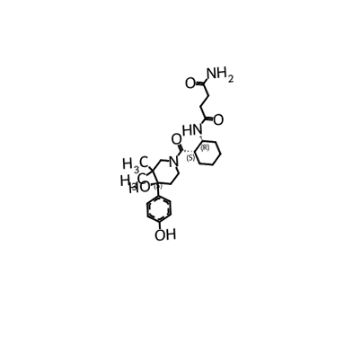 CC1(C)CN(C(=O)[C@H]2CCCC[C@H]2NC(=O)CCC(N)=O)CC[C@]1(O)c1ccc(O)cc1